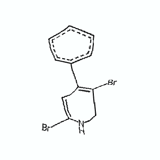 BrC1=CC(c2ccccc2)=C(Br)CN1